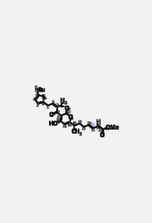 CCCCc1ccc(C/C=C(/C)C(=O)c2c(O)cc(C(C)CC/C=C/NC(=O)OC)oc2=O)s1